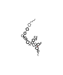 CCCCC[C@H]1CC[C@H](c2ccc(-c3ccc(C(=O)N4CCN(c5ccc6c(c5)-c5c(c7c(c8cc(C(F)(F)F)ccc58)OC(c5ccc(F)cc5)(c5ccc(OCCCC)cc5)C=C7)C6(C)C)CC4)cc3)cc2)CC1